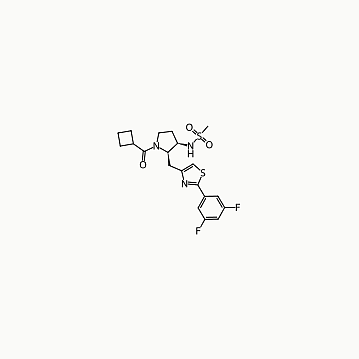 CS(=O)(=O)N[C@@H]1CCN(C(=O)C2CCC2)[C@@H]1Cc1csc(-c2cc(F)cc(F)c2)n1